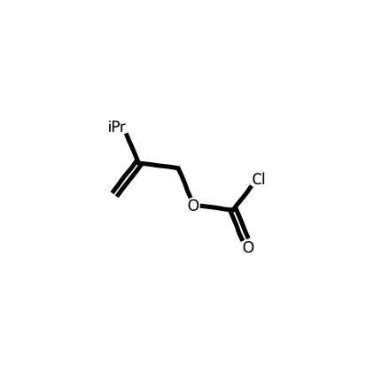 C=C(COC(=O)Cl)C(C)C